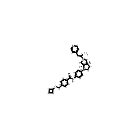 CC(Cc1ccncc1)N1C[C@H]2CCN(c3ccc(NC(=O)c4ccc(COC5CCC5)cc4)cc3)[C@H]2C1